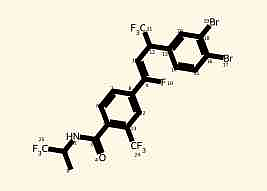 CC(NC(=O)c1ccc(/C(F)=C/C(c2ccc(Br)c(Br)c2)C(F)(F)F)cc1C(F)(F)F)C(F)(F)F